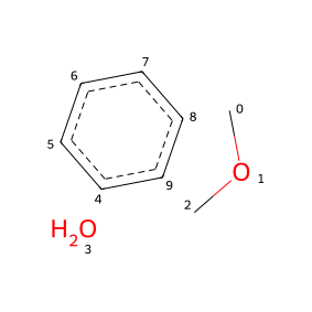 COC.O.c1ccccc1